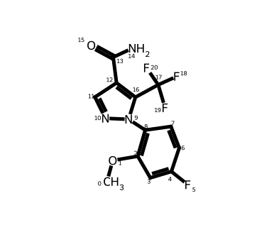 COc1cc(F)ccc1-n1ncc(C(N)=O)c1C(F)(F)F